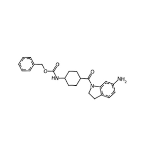 Nc1ccc2c(c1)N(C(=O)C1CCC(NC(=O)OCc3ccccc3)CC1)CC2